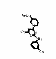 CCCc1cc(N2CCCC(NC(C)=O)C2)nc(Nc2cccc(C#N)c2)n1